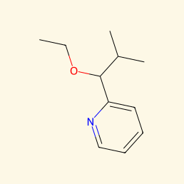 CCOC(c1ccccn1)C(C)C